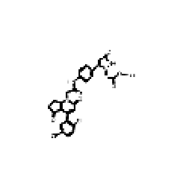 CC(C)(C)OC(=O)On1[nH]c(=O)cc1-c1ccc(NC(=O)Cn2c3c(c(-c4cc(Cl)ccc4Cl)cc2=O)C(=O)CC3)cc1